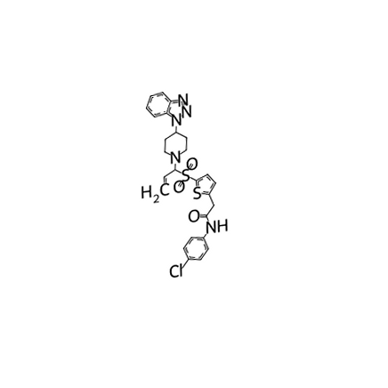 C=CC(N1CCC(n2nnc3ccccc32)CC1)S(=O)(=O)c1ccc(CC(=O)Nc2ccc(Cl)cc2)s1